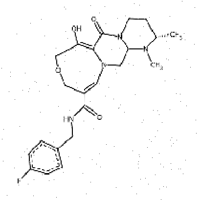 C[C@H]1CCN2C(=O)/C3=C(\O)COC/C(C(=O)NCc4ccc(F)cc4)=C\N3CC2N1C